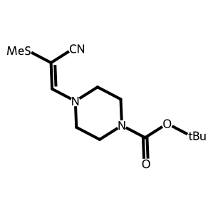 CSC(C#N)=CN1CCN(C(=O)OC(C)(C)C)CC1